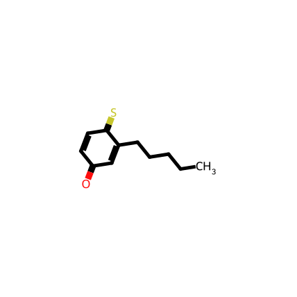 CCCCCC1=CC(=O)C=CC1=S